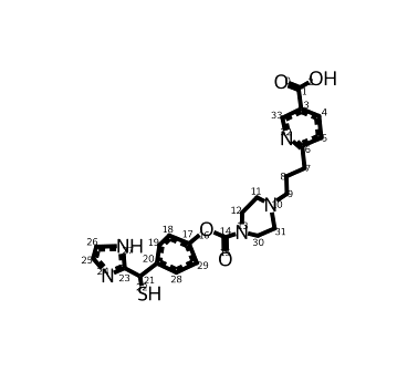 O=C(O)c1ccc(CCCN2CCN(C(=O)Oc3ccc(C(S)c4ncc[nH]4)cc3)CC2)nc1